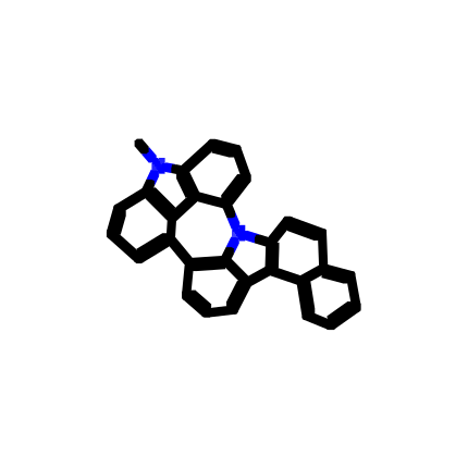 Cn1c2cccc3c4cccc5c6c7ccccc7ccc6n(c6cccc1c6c32)c45